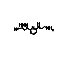 N#Cc1cc(-c2cccc(NCCN)n2)n[nH]1